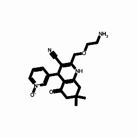 CC1(C)CC(=O)C2=C(C1)NC(COCCN)=C(C#N)C2c1ccc[n+]([O-])c1